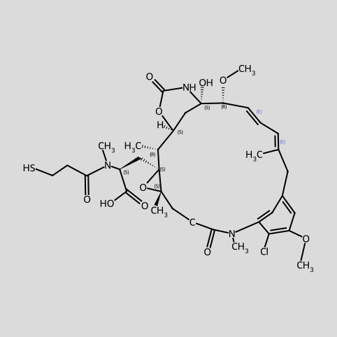 COc1cc2cc(c1Cl)N(C)C(=O)CC[C@]1(C)O[C@@]1(C[C@@H](C(=O)O)N(C)C(=O)CCS)[C@H](C)[C@@H]1C[C@@](O)(NC(=O)O1)[C@H](OC)/C=C/C=C(\C)C2